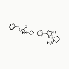 BN1CCC[C@H]1c1nc(-c2ccc(C3CC(NC(=O)OCc4ccccc4)C3)cc2)c[nH]1